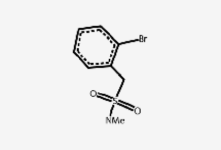 CNS(=O)(=O)Cc1ccccc1Br